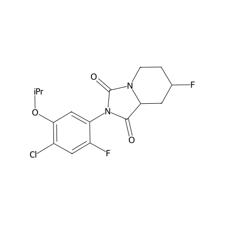 CC(C)Oc1cc(N2C(=O)C3CC(F)CCN3C2=O)c(F)cc1Cl